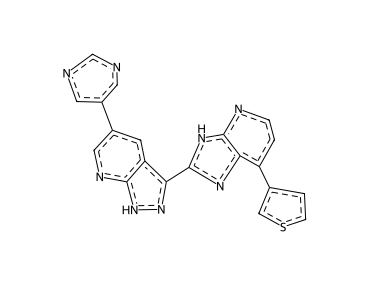 c1ncc(-c2cnc3[nH]nc(-c4nc5c(-c6ccsc6)ccnc5[nH]4)c3c2)cn1